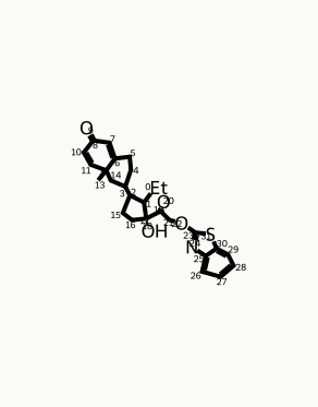 CCC1C(C2CCC3=CC(=O)C=CC3(C)C2)CC[C@]1(O)C(=O)COc1nc2ccccc2s1